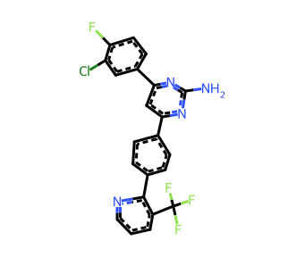 Nc1nc(-c2ccc(-c3ncccc3C(F)(F)F)cc2)cc(-c2ccc(F)c(Cl)c2)n1